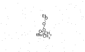 CCOCCOCCOC(=O)C(C)(C)C(C)(C)C